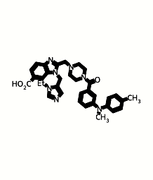 CCn1cncc1Cn1c(CN2CCN(C(=O)c3cccc(N(C)c4ccc(C)cc4)c3)CC2)nc2ccc(C(=O)O)cc21